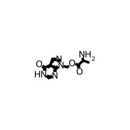 CC(N)C(=O)OCn1ncc2c(=O)[nH]cnc21